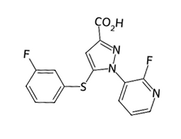 O=C(O)c1cc(Sc2cccc(F)c2)n(-c2cccnc2F)n1